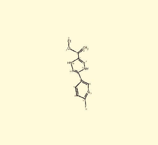 C=C(OCC)C1=NNC(c2ccc(F)nc2)=NN1